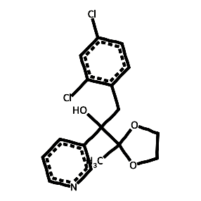 CC1(C(O)(Cc2ccc(Cl)cc2Cl)c2cccnc2)OCCO1